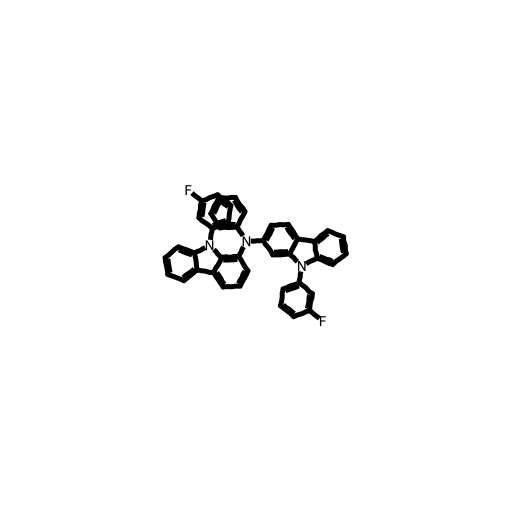 Fc1cccc(-n2c3ccccc3c3ccc(N(c4ccccc4)c4cccc5c6ccccc6n(-c6cccc(F)c6)c45)cc32)c1